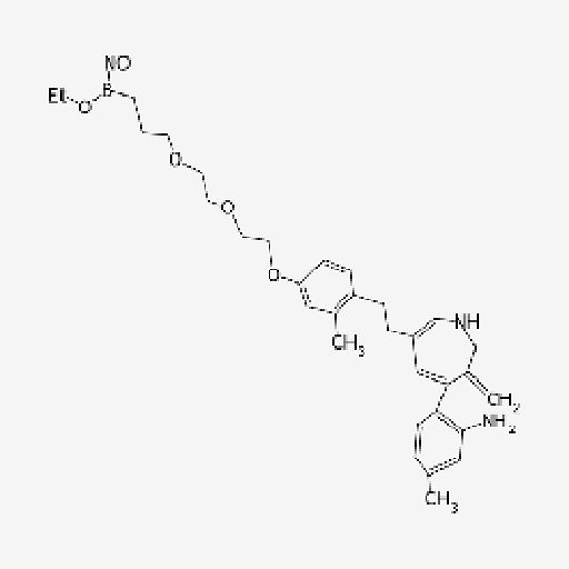 C=C1CNC=C(CCc2ccc(OCCOCCOCCCB(N=O)OCC)cc2C)C=C1c1ccc(C)cc1N